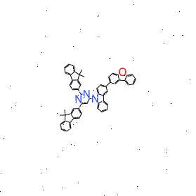 CC1(C)c2ccccc2-c2ccc(-c3cc(-n4c5ccccc5c5cc(-c6ccc7oc8ccccc8c7c6)ccc54)nc(-c4ccc5c(c4)C(C)(C)c4ccccc4-5)n3)cc21